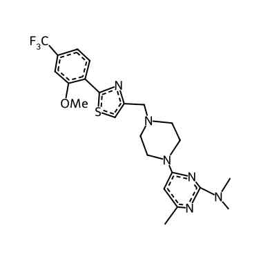 COc1cc(C(F)(F)F)ccc1-c1nc(CN2CCN(c3cc(C)nc(N(C)C)n3)CC2)cs1